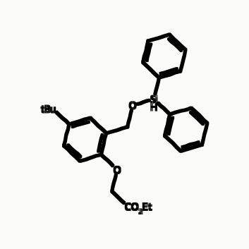 CCOC(=O)COc1ccc(C(C)(C)C)cc1CO[SiH](c1ccccc1)c1ccccc1